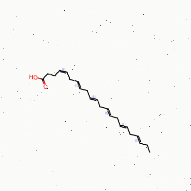 CC/C=C/C/C=C/C/C=C/C/C=C/C/C=C/C/C=C\CCC(=O)O